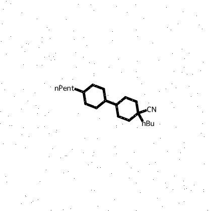 CCCCCC1CCC(C2CCC(C#N)(CCCC)CC2)CC1